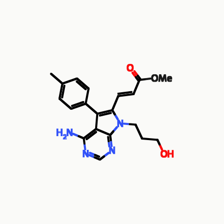 COC(=O)/C=C/c1c(-c2ccc(C)cc2)c2c(N)ncnc2n1CCCO